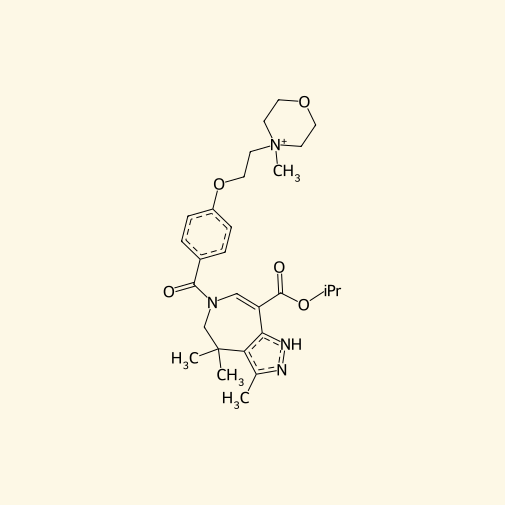 Cc1n[nH]c2c1C(C)(C)CN(C(=O)c1ccc(OCC[N+]3(C)CCOCC3)cc1)C=C2C(=O)OC(C)C